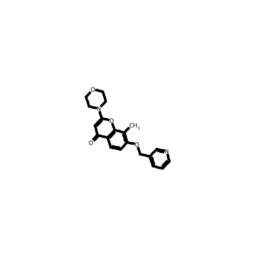 Cc1c(OCc2cccnc2)ccc2c(=O)cc(N3CCOCC3)oc12